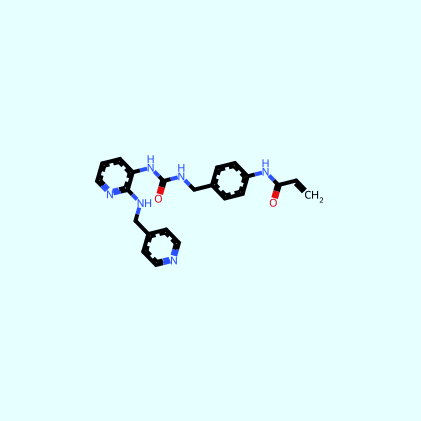 C=CC(=O)Nc1ccc(CNC(=O)Nc2cccnc2NCc2ccncc2)cc1